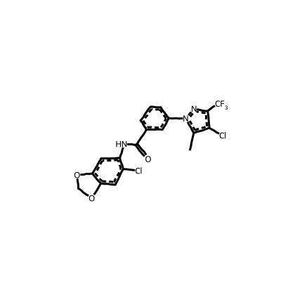 Cc1c(Cl)c(C(F)(F)F)nn1-c1cccc(C(=O)Nc2cc3c(cc2Cl)OCO3)c1